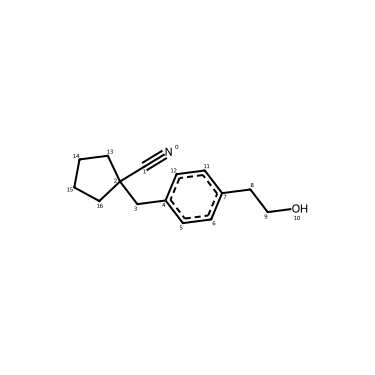 N#CC1(Cc2ccc(CCO)cc2)CCCC1